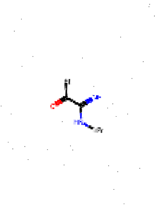 CCCNC(=N)C(=O)CC